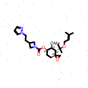 CO[C@H]1[C@H](C(C)(C)OCC=C(C)C)[C@]2(CC[C@H]1OC(=O)N1CC(CCn3cccn3)C1)CO2